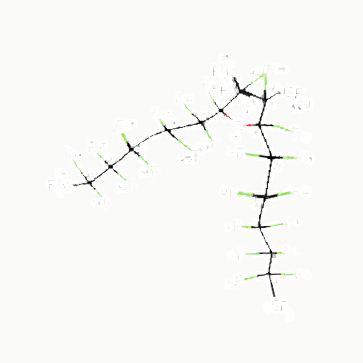 FC(F)(F)C(F)(F)C(F)(F)C(F)(F)C(F)(F)C(F)(F)C(F)(OC(F)(C(F)(F)C(F)(F)C(F)(F)C(F)(F)C(F)(F)C(F)(F)F)C(F)(C(F)(F)F)C(F)(F)F)C(F)(C(F)(F)F)C(F)(F)F